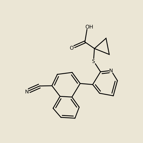 N#Cc1ccc(-c2cccnc2SC2(C(=O)O)CC2)c2ccccc12